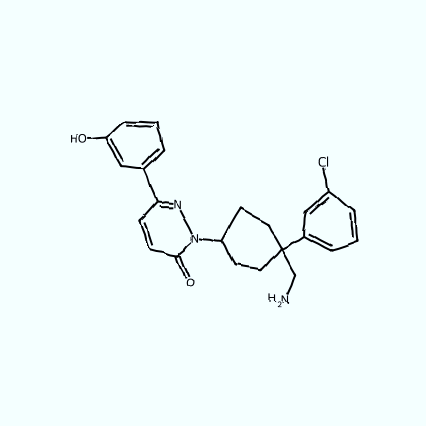 NCC1(c2cccc(Cl)c2)CCC(n2nc(-c3cccc(O)c3)ccc2=O)CC1